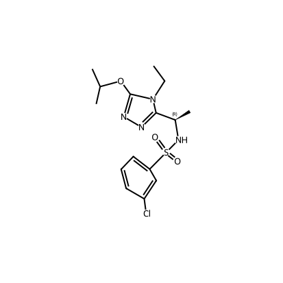 CCn1c(OC(C)C)nnc1[C@@H](C)NS(=O)(=O)c1cccc(Cl)c1